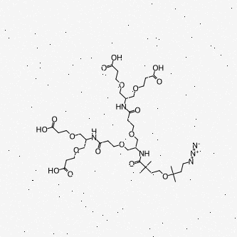 CC(C)(CCN=[N+]=[N-])OCCC(C)(C)C(=O)NC(COCCC(=O)NC(COCCC(=O)O)COCCC(=O)O)COCCC(=O)NC(COCCC(=O)O)COCCC(=O)O